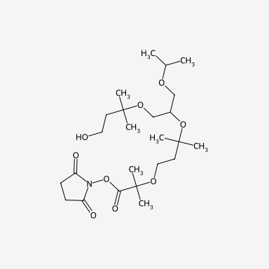 CC(C)OCC(COC(C)(C)CCO)OC(C)(C)CCOC(C)(C)C(=O)ON1C(=O)CCC1=O